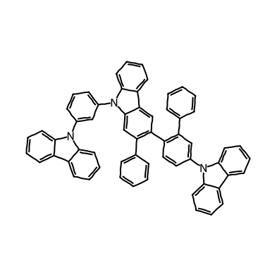 c1ccc(-c2cc(-n3c4ccccc4c4ccccc43)ccc2-c2cc3c4ccccc4n(-c4cccc(-n5c6ccccc6c6ccccc65)c4)c3cc2-c2ccccc2)cc1